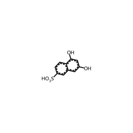 O=S(=O)(O)c1ccc2c(O)cc(O)cc2c1